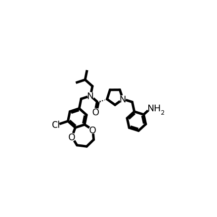 CC(C)CN(Cc1cc(Cl)c2c(c1)OCCCO2)C(=O)[C@@H]1CCN(Cc2ccccc2N)C1